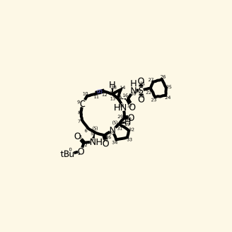 CC(C)(C)OC(=O)N[C@H]1CCCCC/C=C\[C@@H]2C[C@@]2(C(=O)NS(=O)(=O)C2CCCCC2)NC(=O)[C@@H]2CCCN2C1=O